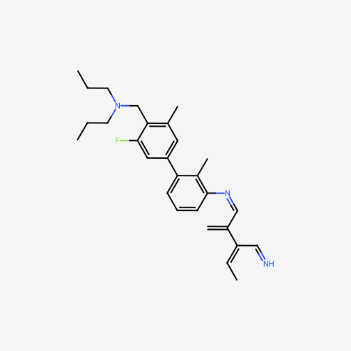 C=C(/C=N\c1cccc(-c2cc(C)c(CN(CCC)CCC)c(F)c2)c1C)/C(C=N)=C/C